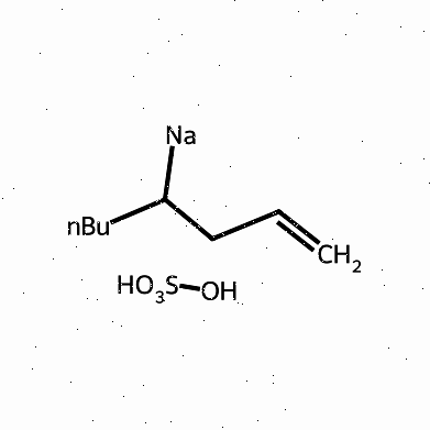 C=CC[CH]([Na])CCCC.O=S(=O)(O)O